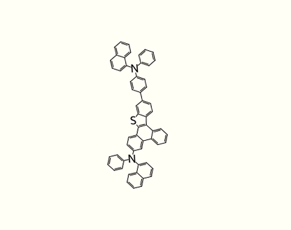 c1ccc(N(c2ccc(-c3ccc4c(c3)sc3c5ccc(N(c6ccccc6)c6cccc7ccccc67)cc5c5ccccc5c43)cc2)c2cccc3ccccc23)cc1